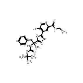 CCOC(=O)c1cc(-c2nnc(C(C)(Cc3ccccc3)NC(=O)OC(C)(C)C)o2)c(F)cn1